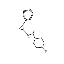 CCN1CCC(C(C)NC2CC2c2ccccc2)CC1